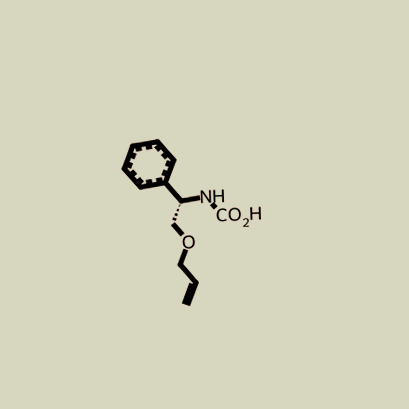 C=CCOC[C@@H](NC(=O)O)c1ccccc1